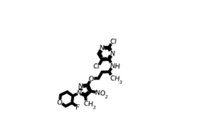 Cc1c([N+](=O)[O-])c(OCCC(C)Nc2nc(Cl)ncc2Cl)nn1C1CCOCC1F